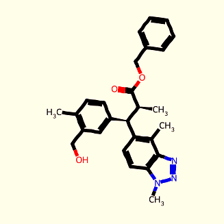 Cc1ccc([C@H](c2ccc3c(nnn3C)c2C)[C@H](C)C(=O)OCc2ccccc2)cc1CO